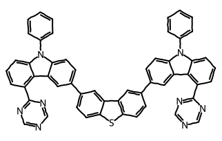 c1ccc(-n2c3ccc(-c4ccc5sc6ccc(-c7ccc8c(c7)c7c(-c9ncncn9)cccc7n8-c7ccccc7)cc6c5c4)cc3c3c(-c4ncncn4)cccc32)cc1